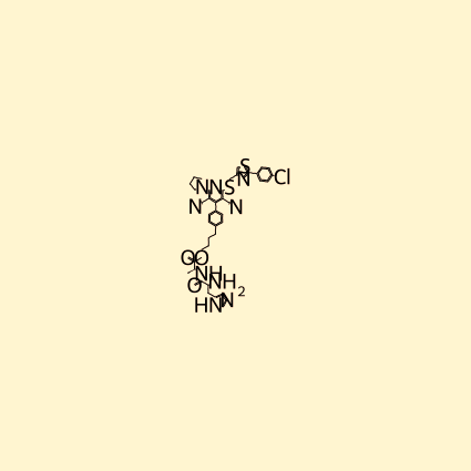 C[C@H](NC(=O)[C@@H](N)Cc1cnc[nH]1)C(=O)OCCCCc1ccc(-c2c(C#N)c(SCc3csc(-c4ccc(Cl)cc4)n3)nc(N3CCCC3)c2C#N)cc1